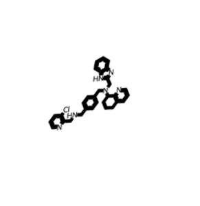 Clc1cccnc1CNCc1ccc(CN(Cc2nc3ccccc3[nH]2)C2CCCc3cccnc32)cc1